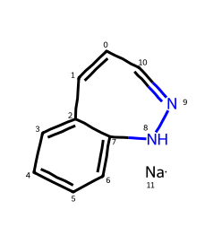 C1=Cc2ccccc2NN=C1.[Na]